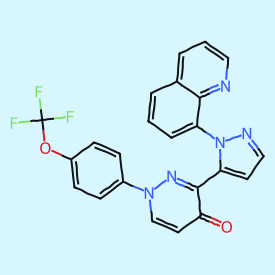 O=c1ccn(-c2ccc(OC(F)(F)F)cc2)nc1-c1ccnn1-c1cccc2cccnc12